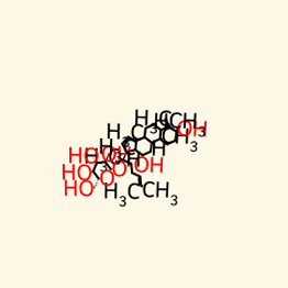 CC(C)=CCCC(C)(O[C@@H]1O[C@H](CO)[C@@H](O)[C@H](O)[C@H]1O)[C@H]1CC[C@]2(C)[C@@H]1[C@H](O)C[C@@H]1[C@@]3(C)CC[C@H](O)C(C)(C)[C@@H]3CC[C@]12C